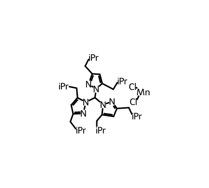 CC(C)Cc1cc(CC(C)C)n(C(n2nc(CC(C)C)cc2CC(C)C)n2nc(CC(C)C)cc2CC(C)C)n1.[Cl][Mn][Cl]